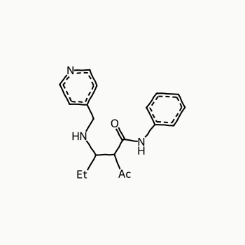 CCC(NCc1ccncc1)C(C(C)=O)C(=O)Nc1ccccc1